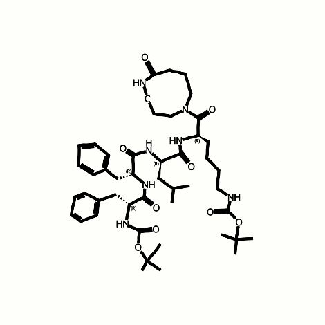 CC(C)C[C@@H](NC(=O)[C@@H](Cc1ccccc1)NC(=O)[C@@H](Cc1ccccc1)NC(=O)OC(C)(C)C)C(=O)N[C@H](CCCCNC(=O)OC(C)(C)C)C(=O)N1CCCNC(=O)CCC1